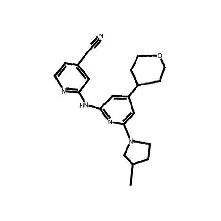 CC1CCN(c2cc(C3CCOCC3)cc(Nc3cc(C#N)ccn3)n2)C1